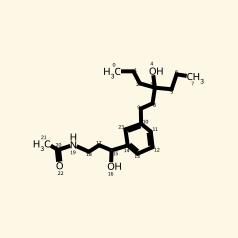 CCCC(O)(CCC)CCc1cccc(C(O)CCNC(C)=O)c1